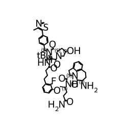 Cc1ncsc1-c1ccc([C@H](C)NC(=O)[C@@H]2C[C@@H](O)CN2C(=O)[C@@H](NC(=O)CCCc2cccc(OC[C@H](CCC(N)=O)NC(=O)[C@@H]3Cc4cccc5c4N3C(=O)[C@@H](N)CC5)c2F)C(C)(C)C)cc1